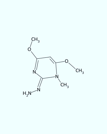 COc1cc(OC)n(C)c(=NN)n1